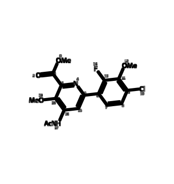 COC(=O)c1nc(-c2ccc(Cl)c(OC)c2F)cc(NC(C)=O)c1OC